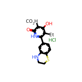 CCc1c(-c2ccc3c(c2)NCCS3)[nH]c(=O)c(C(=O)O)c1O.Cl